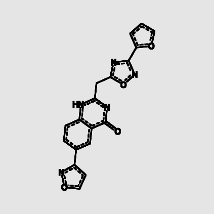 O=c1nc(Cc2nc(-c3ccco3)no2)[nH]c2ccc(-c3ccon3)cc12